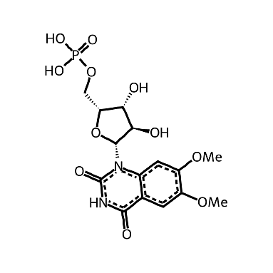 COc1cc2c(=O)[nH]c(=O)n([C@@H]3O[C@H](COP(=O)(O)O)[C@H](O)[C@H]3O)c2cc1OC